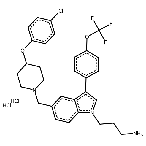 Cl.Cl.NCCCn1cc(-c2ccc(OC(F)(F)F)cc2)c2cc(CN3CCC(Oc4ccc(Cl)cc4)CC3)ccc21